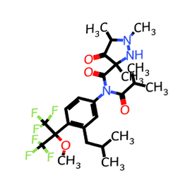 COC(c1ccc(N(C(=O)C(C)C)C(=O)C2(C)NN(C)C(C)C2=O)cc1CC(C)C)(C(F)(F)F)C(F)(F)F